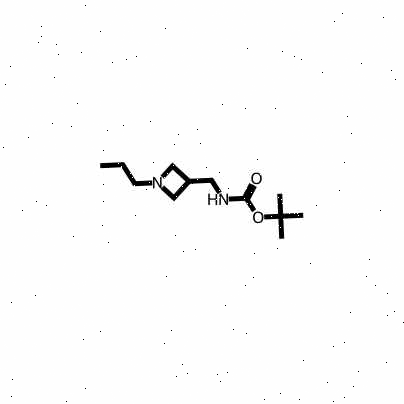 CCCN1CC(CNC(=O)OC(C)(C)C)C1